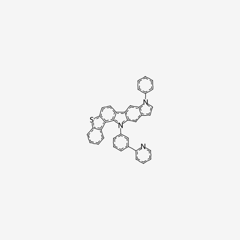 c1ccc(-n2ccc3cc4c(cc32)c2ccc3sc5ccccc5c3c2n4-c2cccc(-c3ccccn3)c2)cc1